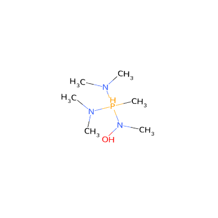 CN(C)[PH](C)(N(C)C)N(C)O